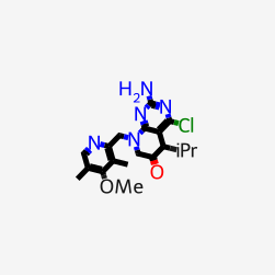 COc1c(C)cnc(CN2CC(=O)C(C(C)C)c3c(Cl)nc(N)nc32)c1C